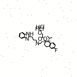 COCC(=O)O[C@]1(CCN(C)CCCc2nc3ccccc3[nH]2)CCc2cc(F)ccc2[C@@H]1C(C)C.Cl.Cl